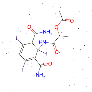 CC(=O)OC(C)C(=O)NC1(I)C(C(N)=O)=C(I)C=C(I)C1C(N)=O